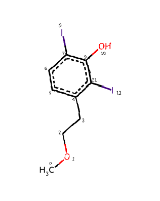 COCCc1ccc(I)c(O)c1I